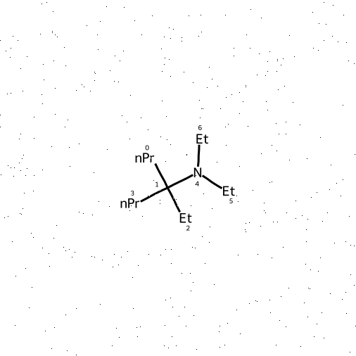 CCCC(CC)(CCC)N(CC)CC